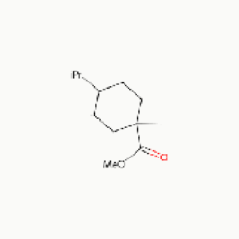 COC(=O)C1(C)C[CH]C(C(C)C)CC1